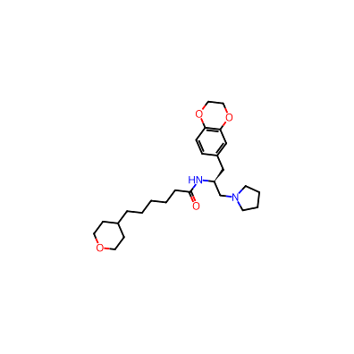 O=C(CCCCCC1CCOCC1)N[C@@H](Cc1ccc2c(c1)OCCO2)CN1CCCC1